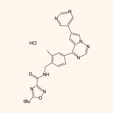 Cc1cc(-c2ncnn3cc(-c4cncnc4)cc23)ccc1CNC(=O)c1noc(C(C)(C)C)n1.Cl